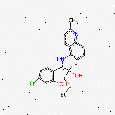 CCSCC(O)(C(Nc1cccc2nc(C)ccc12)c1ccc(Cl)cc1O)C(F)(F)F